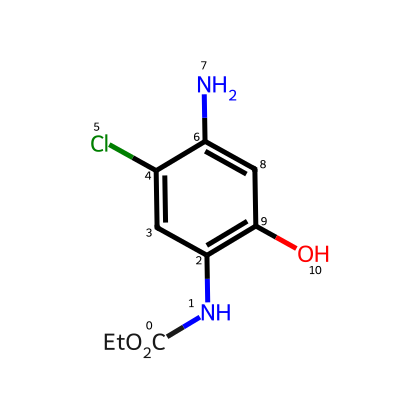 CCOC(=O)Nc1cc(Cl)c(N)cc1O